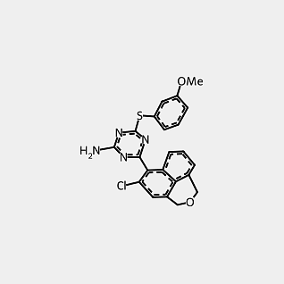 COc1cccc(Sc2nc(N)nc(-c3c(Cl)cc4c5c(cccc35)COC4)n2)c1